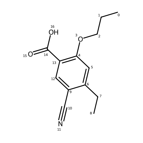 CCCOc1cc(CC)c(C#N)cc1C(=O)O